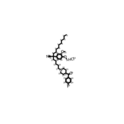 CCCCCCCCCCC(C#N)(CCCCCN1CCC(C(=O)c2ccc(F)cc2)CC1)c1ccc(OC)c(OC)c1.Cl